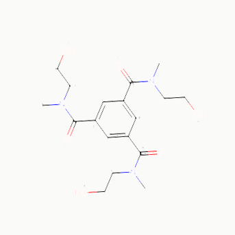 CN(CCO)C(=O)c1cc(C(=O)N(C)CCO)cc(C(=O)N(C)CCO)c1